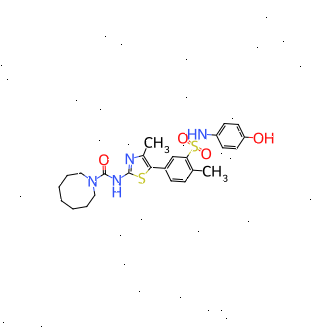 Cc1ccc(-c2sc(NC(=O)N3CCCCCCC3)nc2C)cc1S(=O)(=O)Nc1ccc(O)cc1